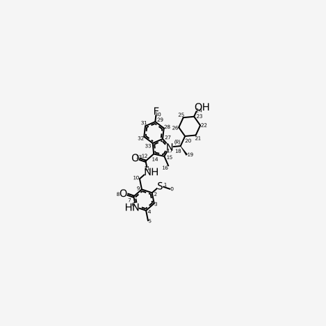 CSc1cc(C)[nH]c(=O)c1CNC(=O)c1c(C)n([C@H](C)C2CCC(O)CC2)c2cc(F)ccc12